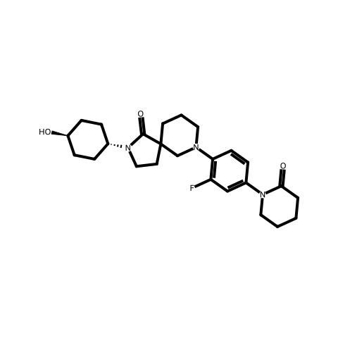 O=C1CCCCN1c1ccc(N2CCCC3(CCN([C@H]4CC[C@H](O)CC4)C3=O)C2)c(F)c1